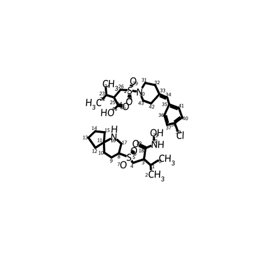 CC(C)C(CS(=O)(=O)C1CCC2(CCCC2)NC1)C(=O)NO.CC(C)C(CS(=O)(=O)N1CCC(=Cc2ccc(Cl)cc2)CC1)C(=O)O